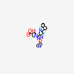 O=C(O)C1CCN(c2nc(OCC34CCCN3CCC4)nc3c(F)c(-c4cccc5cccc(F)c45)ncc23)CC1